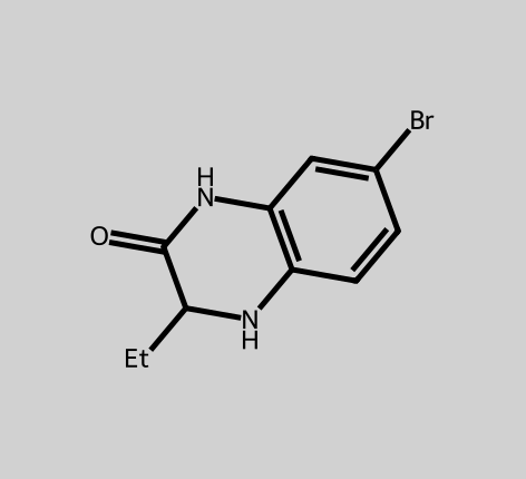 CCC1Nc2ccc(Br)cc2NC1=O